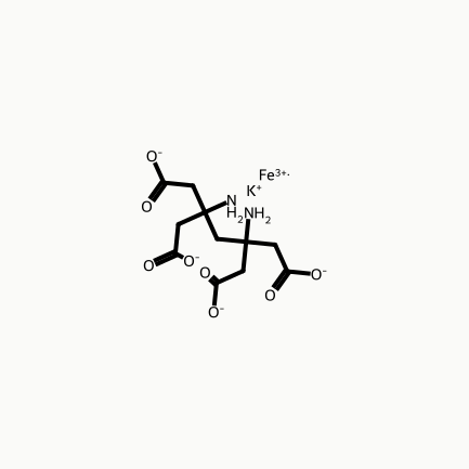 NC(CC(=O)[O-])(CC(=O)[O-])CC(N)(CC(=O)[O-])CC(=O)[O-].[Fe+3].[K+]